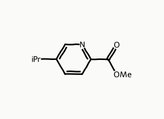 COC(=O)c1ccc(C(C)C)cn1